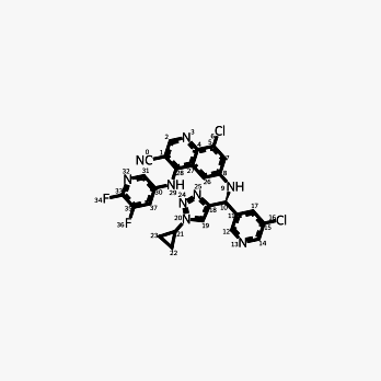 N#Cc1cnc2c(Cl)cc(N[C@@H](c3cncc(Cl)c3)c3cn(C4CC4)nn3)cc2c1Nc1cnc(F)c(F)c1